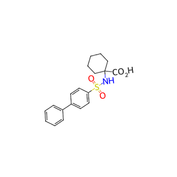 O=C(O)C1(NS(=O)(=O)c2ccc(-c3ccccc3)cc2)CCCCC1